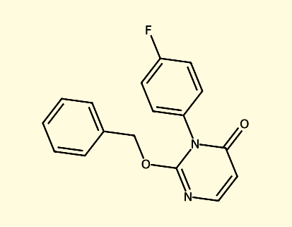 O=c1ccnc(OCc2ccccc2)n1-c1ccc(F)cc1